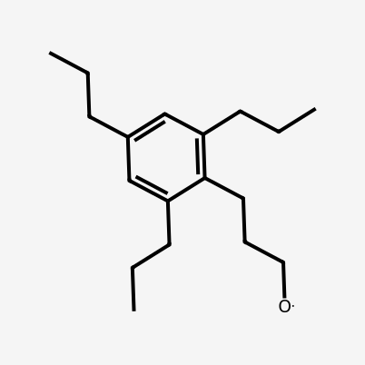 CCCc1cc(CCC)c(CCC[O])c(CCC)c1